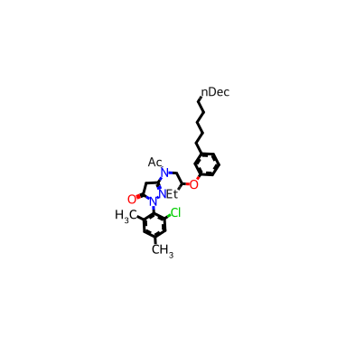 CCCCCCCCCCCCCCCc1cccc(OC(CC)CN(C(C)=O)C2=NN(c3c(C)cc(C)cc3Cl)C(=O)C2)c1